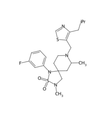 CC(C)Cc1ncsc1CN1CCC2(CC1C)CN(C)S(=O)(=O)N2c1cccc(F)c1